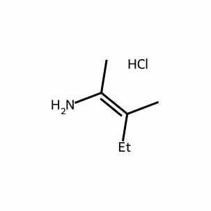 CCC(C)=C(C)N.Cl